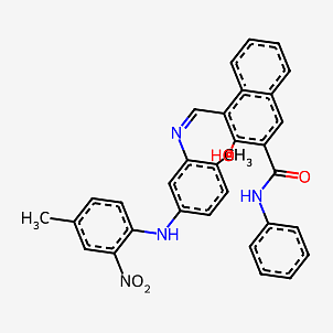 Cc1ccc(Nc2ccc(C)c(/N=C\c3c(O)c(C(=O)Nc4ccccc4)cc4ccccc34)c2)c([N+](=O)[O-])c1